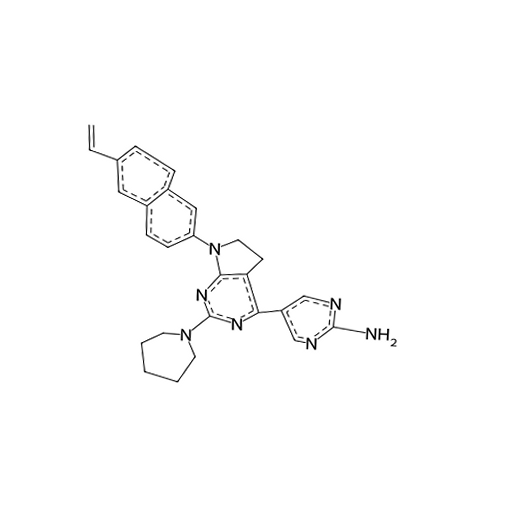 C=Cc1ccc2cc(N3CCc4c(-c5cnc(N)nc5)nc(N5CCCCC5)nc43)ccc2c1